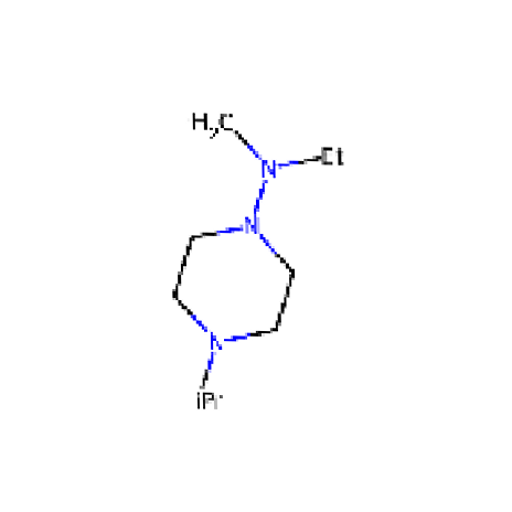 [CH2]N(CC)N1CCN(C(C)C)CC1